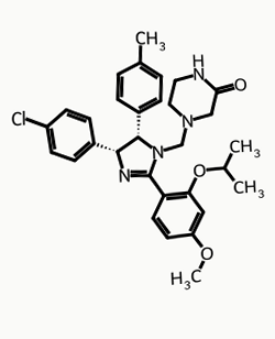 COc1ccc(C2=N[C@H](c3ccc(Cl)cc3)[C@H](c3ccc(C)cc3)N2CN2CCNC(=O)C2)c(OC(C)C)c1